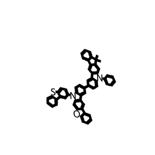 CC1(C)c2ccccc2-c2cc3c4cc(-c5ccc6c(c5)c5cc7c(cc5n6-c5ccc6sc8ccccc8c6c5)oc5ccccc57)ccc4n(-c4ccccc4)c3cc21